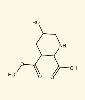 COC(=O)C1CC(O)CNC1C(=O)O